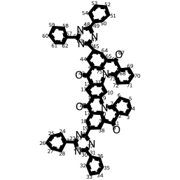 O=c1c2ccccc2n2c3cc4c(cc3c(=O)c3cc(-c5nc(-c6ccccc6)nc(-c6ccccc6)n5)cc1c32)c(=O)c1cc(-c2nc(-c3ccccc3)nc(-c3ccccc3)n2)cc2c(=O)c3ccccc3n4c21